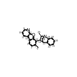 Cc1ccc2c(oc3ncccc32)c1C1C2CN(c3ccccc32)[C@@H]1C